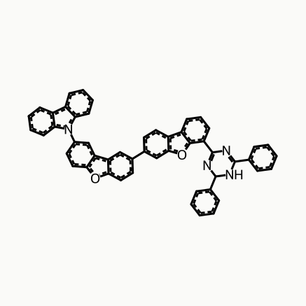 c1ccc(C2=NC(c3cccc4c3oc3cc(-c5ccc6oc7ccc(-n8c9ccccc9c9ccccc98)cc7c6c5)ccc34)=NC(c3ccccc3)N2)cc1